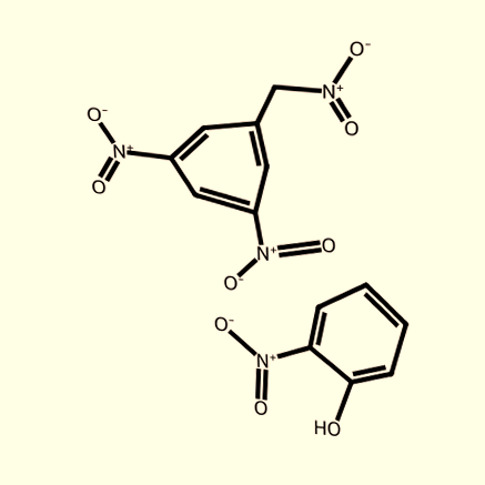 O=[N+]([O-])Cc1cc([N+](=O)[O-])cc([N+](=O)[O-])c1.O=[N+]([O-])c1ccccc1O